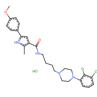 COc1ccc(-c2cc(C(=O)NCCCCN3CCN(c4cccc(Cl)c4Cl)CC3)c(C)[nH]2)cc1.Cl